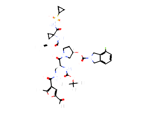 C=C[C@@H]1C[C@]1(NC(=O)[C@@H]1C[C@@H](OC(=O)N2Cc3cccc(F)c3C2)CN1C(=O)[C@H](CNC(=O)c1cc(C(C)=O)oc1C)NC(=O)OC(C)(C)C)C(=O)NS(=O)(=O)C1CC1